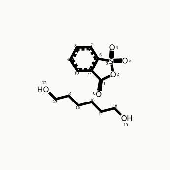 O=C1OS(=O)(=O)c2ccccc21.OCCCCCCO